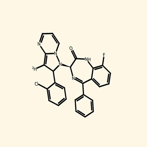 [2H]C1=C2N=CC=CN2N([C@@H]2N=C(c3ccccc3)c3cccc(F)c3NC2=O)C1c1ccccc1Cl